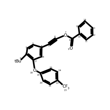 CC(C)(C)c1ccc(C#COC(=O)c2ccccc2)cc1Oc1ccc(C(F)(F)F)cc1